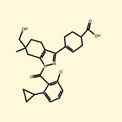 CC1(CO)CCc2c(C3=CCC(C(=O)O)CC3)nn(C(=O)c3c(Cl)cccc3C3CC3)c2C1